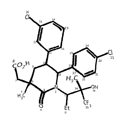 CCC(N1C(=O)C(C)(CC(=O)O)CC(c2cccc(Cl)c2)C1c1ccc(Cl)cc1)C(C)(O)C(F)(F)F